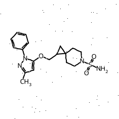 Cc1cc(OCC2CC23CCN(S(N)(=O)=O)CC3)n(-c2ccccc2)n1